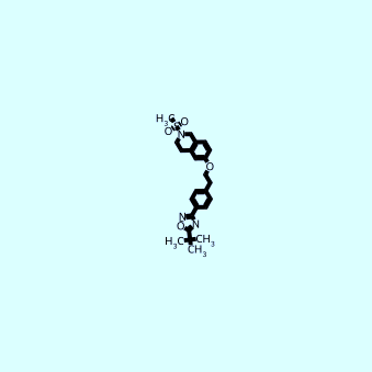 CC(C)(C)c1nc(-c2ccc(CCOc3ccc4c(c3)CCN(S(C)(=O)=O)C4)cc2)no1